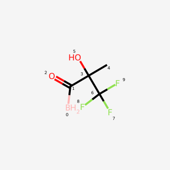 BC(=O)C(C)(O)C(F)(F)F